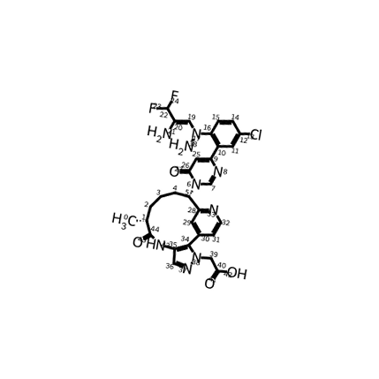 C[C@@H]1CCC[C@H](n2cnc(-c3cc(Cl)ccc3N(N)/C=C(\N)C(F)F)cc2=O)c2cc(ccn2)-c2c(cnn2CC(=O)O)NC1=O